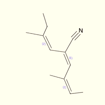 C\C=C(C)/C=C(C#N)\C=C(\C)CC